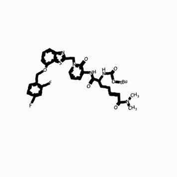 CN(C)C(=O)C=CCCC(NC(=O)OC(C)(C)C)C(=O)Nc1cccn(Cc2nc3cccc(OCc4ccc(F)cc4F)c3s2)c1=O